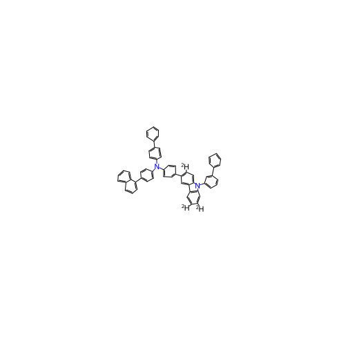 [2H]c1cc2c3cc(-c4ccc(N(c5ccc(-c6ccccc6)cc5)c5ccc(-c6cccc7ccccc67)cc5)cc4)c([2H])cc3n(-c3cccc(-c4ccccc4)c3)c2cc1[2H]